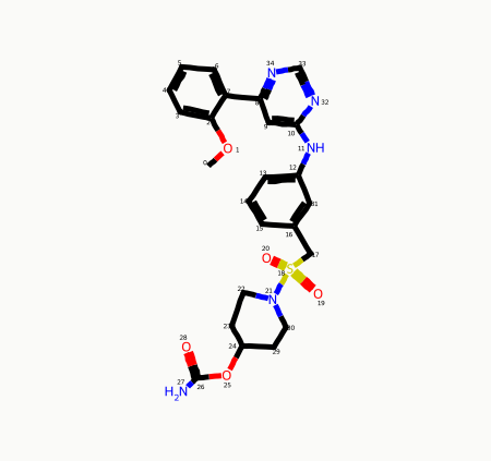 COc1ccccc1-c1cc(Nc2cccc(CS(=O)(=O)N3CCC(OC(N)=O)CC3)c2)ncn1